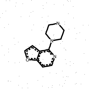 c1cc2occc2c(N2CC[N]CC2)n1